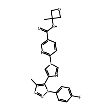 Cc1nnn(-c2ccc(F)cc2)c1-c1cn(-c2ccc(C(=O)NC3(C)COC3)cn2)cn1